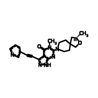 C[C@H]1CC2(CCN(c3nc4[nH]nc(C#Cc5cccnc5)c4c(=O)n3C)CC2)CO1